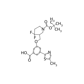 Cc1cnc(-c2cc(OCC3CN(C(=O)OC(C)(C)C)CCC3(F)F)cc(C(=O)O)c2)s1